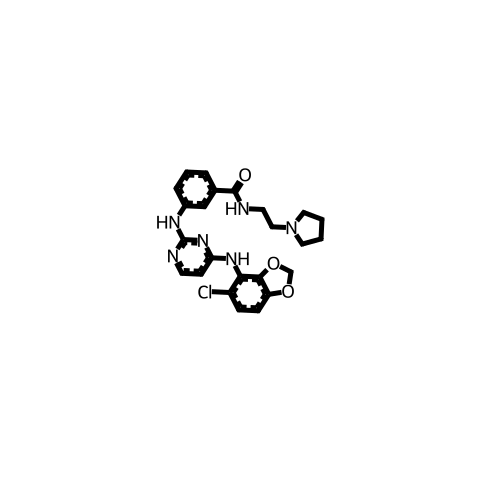 O=C(NCCN1CCCC1)c1cccc(Nc2nccc(Nc3c(Cl)ccc4c3OCO4)n2)c1